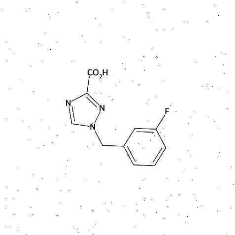 O=C(O)c1ncn(Cc2cccc(F)c2)n1